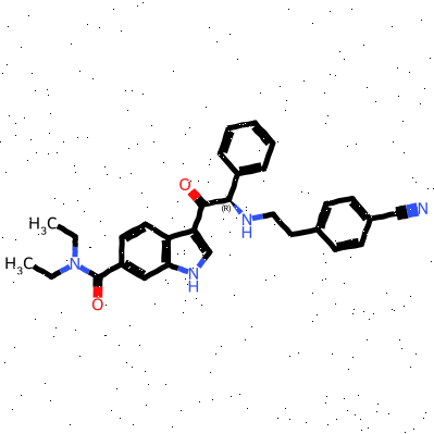 CCN(CC)C(=O)c1ccc2c(C(=O)[C@H](NCCc3ccc(C#N)cc3)c3ccccc3)c[nH]c2c1